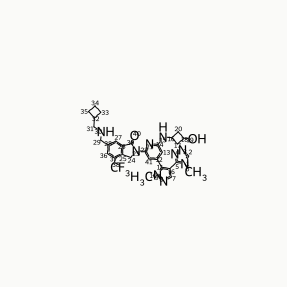 Cn1cnnc1-c1cnn(C)c1-c1cc(NC2CC(O)C2)nc(N2Cc3c(cc(CNCC4CCC4)cc3C(F)(F)F)C2=O)c1